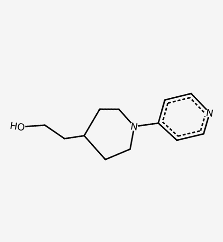 OCCC1CCN(c2ccncc2)CC1